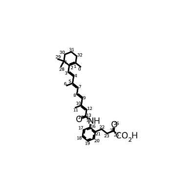 CC1=C(/C=C/C(C)=C/C=C/C(C)=C/C(=O)Nc2ccccc2CCC(=O)C(=O)O)C(C)(C)CCC1